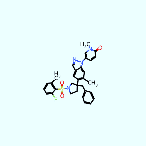 Cc1cc2c(cnn2-c2ccc(=O)n(C)c2)cc1C1(Cc2ccccc2)CCN(S(=O)(=O)c2c(C)cccc2F)C1